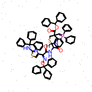 O=C(NC1C(=O)N2CC(C=P(c3ccccc3)(c3ccccc3)c3ccccc3)(C(=O)OC(c3ccccc3)c3ccccc3)CS[C@H]12)C(=NOC(c1ccccc1)(c1ccccc1)c1ccccc1)c1csc(NC(c2ccccc2)(c2ccccc2)c2ccccc2)n1